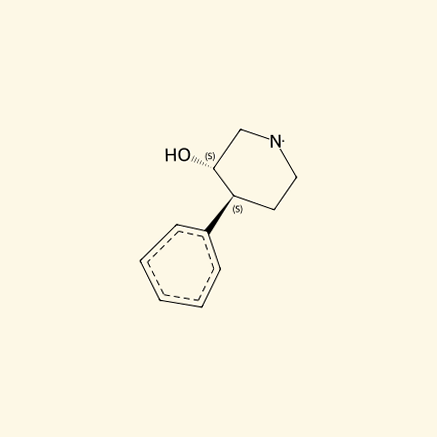 O[C@@H]1C[N]CC[C@H]1c1ccccc1